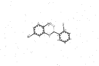 C[C@@H](Oc1cc(Br)cnc1[N+](=O)[O-])c1ncccc1F